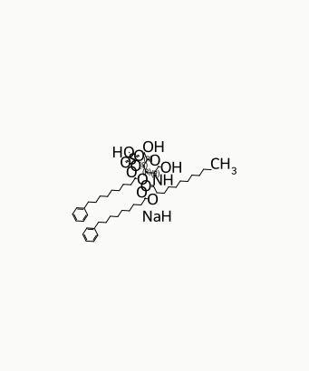 CCCCCCCCCCC(OC(=O)CCCCCCCCc1ccccc1)C(=O)N[C@H]1C(O)O[C@H](CO)[C@@H](OS(=O)(=O)O)[C@@H]1OC(=O)CCCCCCCCc1ccccc1.[NaH]